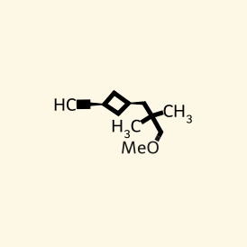 C#C[C@H]1C[C@@H](CC(C)(C)COC)C1